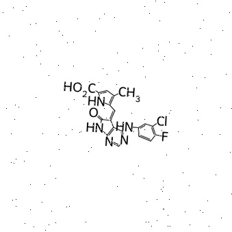 Cc1cc(C(=O)O)[nH]c1C=C1C(=O)Nc2ncnc(Nc3ccc(F)c(Cl)c3)c21